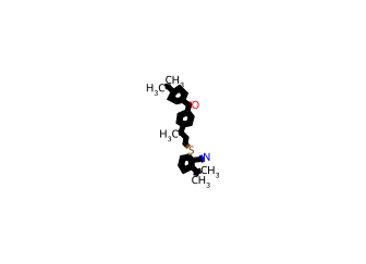 CC(C)c1ccc(C(=O)c2ccc(C(C)CCSc3cccc(C(C)C)c3C#N)cc2)cc1